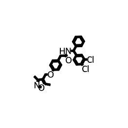 Cc1noc(C)c1COc1ccc(CC(=O)NC(c2ccccc2)c2ccc(Cl)c(Cl)c2)cc1